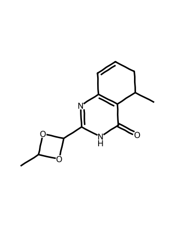 CC1OC(c2nc3c(c(=O)[nH]2)C(C)CC=C3)O1